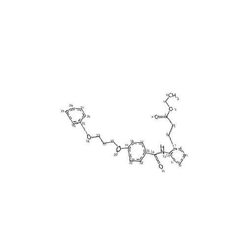 CCOC(=O)CCc1ccccc1NC(=O)c1ccc(OCCCOc2ccccc2)cc1